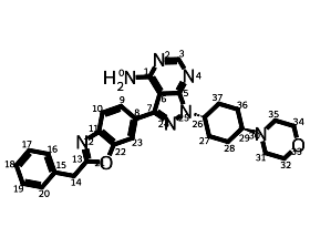 Nc1ncnc2c1c(-c1ccc3nc(Cc4ccccc4)oc3c1)nn2[C@H]1CC[C@H](N2CCOCC2)CC1